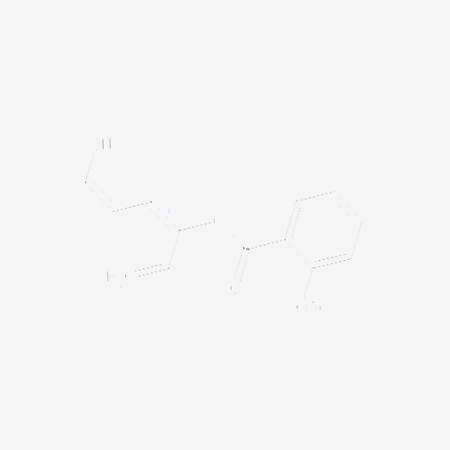 C=C/C(=C\C=C/C)OC(=O)c1ccccc1OC(C)=O